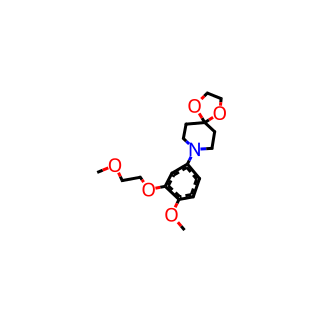 COCCOc1cc(N2CCC3(CC2)OCCO3)ccc1OC